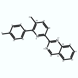 Cc1ccc(-c2nc(-c3ncc4ccccc4n3)ccc2C)cc1